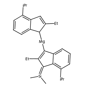 CCC1=Cc2c(C(C)C)cccc2[CH]1[Mg][C]1=C(CC)C(=[Si](C)C)c2c1cccc2C(C)C